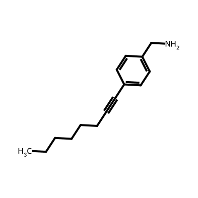 CCCCCCC#Cc1ccc(CN)cc1